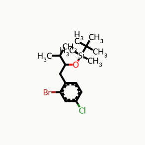 CC(C)C(Cc1ccc(Cl)cc1Br)O[Si](C)(C)C(C)(C)C